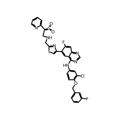 O=S(=O)=C(CNCc1nc(-c2cc3c(Nc4ccc(OCc5cccc(F)c5)c(Cl)c4)ncnc3cc2F)cs1)c1ccccn1